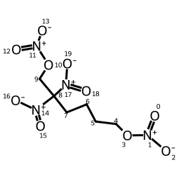 O=[N+]([O-])OCCCCC(CO[N+](=O)[O-])([N+](=O)[O-])[N+](=O)[O-]